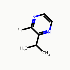 [2H]c1nccnc1C(C)C